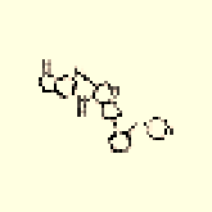 N#Cc1cnc2sc(-c3ccccc3CN3CCOCC3)cc2c1Nc1ccc2[nH]ccc2c1